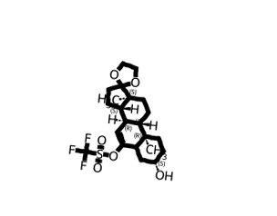 C[C@]12CC[C@H](O)CC1C(OS(=O)(=O)C(F)(F)F)=C[C@@H]1[C@@H]2CC[C@@]2(C)[C@H]1CCC21OCCO1